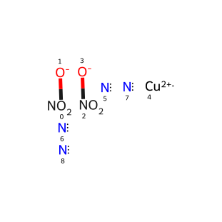 O=[N+]([O-])[O-].O=[N+]([O-])[O-].[Cu+2].[N].[N].[N].[N]